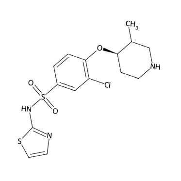 CC1CNCC[C@H]1Oc1ccc(S(=O)(=O)Nc2nccs2)cc1Cl